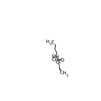 C=CCOC(=O)CCCCC.CO